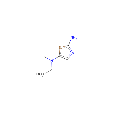 CCOC(=O)CN(C)c1cnc(N)s1